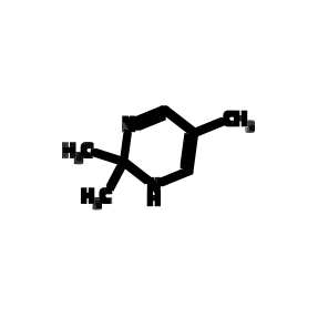 CC1=CNC(C)(C)N=C1